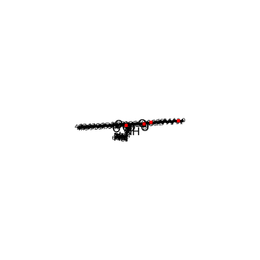 CCCCCCCCCCCCCCCCCC(=O)OCCCCC(CCCCOC(=O)CCCCCCCCCCCCCCCCC)OC(=O)NCCN(C)CCN(C)C